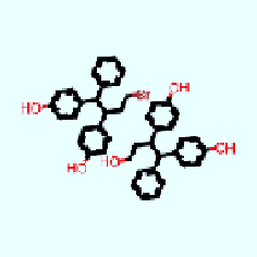 OCCC(c1ccc(O)cc1)C(c1ccccc1)c1ccc(O)cc1.Oc1ccc(C(CCBr)C(c2ccccc2)c2ccc(O)cc2)cc1